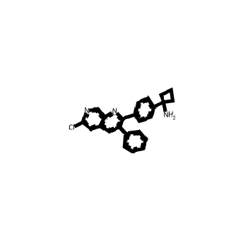 NC1(c2ccc(-c3nc4cnc(Cl)cc4cc3-c3ccccc3)cc2)CCC1